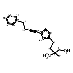 CC(N)(CO)CCc1ccc(C#CCCc2ccccc2)s1